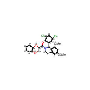 COc1cc2c(c(OC)c1)C(c1cc(Cl)cc(Cl)c1)N(C(=O)C1COc3ccccc3O1)CC2